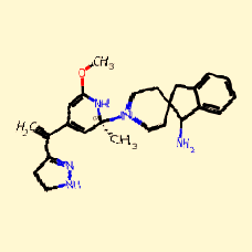 C=C(C1=C[C@](C)(N2CCC3(CC2)Cc2ccccc2C3N)NC(OC)=C1)C1=NNCC1